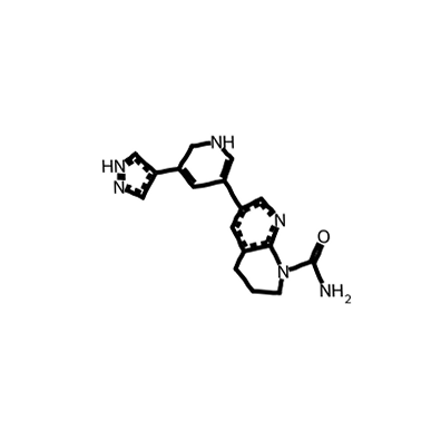 NC(=O)N1CCCc2cc(C3=CNCC(c4cn[nH]c4)=C3)cnc21